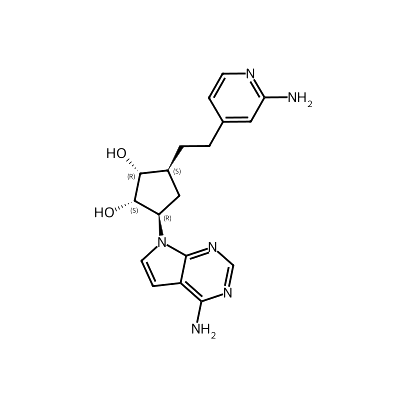 Nc1cc(CC[C@H]2C[C@@H](n3ccc4c(N)ncnc43)[C@H](O)[C@@H]2O)ccn1